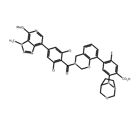 COc1ncc(-c2cc(Cl)c(C(=O)N3COc4c(cccc4-c4cc(N5B6CCC5COC6)c(C(=O)O)cc4F)C3)c(Cl)c2)c2nnn(C)c12